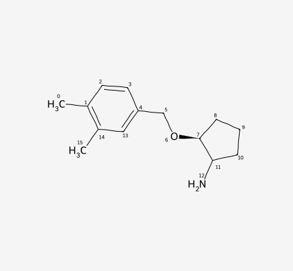 Cc1ccc(CO[C@H]2CCCC2N)cc1C